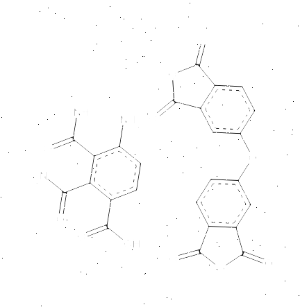 NC(=O)c1c(N)ccc(C(=O)O)c1C(N)=O.O=C1OC(=O)c2cc(Oc3ccc4c(c3)C(=O)OC4=O)ccc21